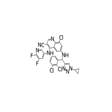 N#Cc1cnc2c(Cl)cc(NC(c3cn(C4CC4)nn3)c3cccc(Cl)c3Cl)cc2c1Nc1cnc(F)c(F)c1